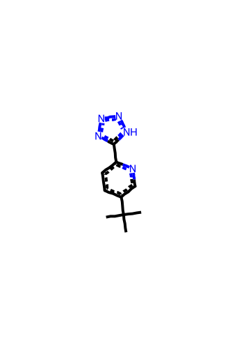 CC(C)(C)c1ccc(-c2nnn[nH]2)nc1